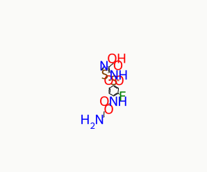 NCCOC(=O)Nc1ccc(S(=O)(=O)Nc2scnc2C(=O)O)cc1F